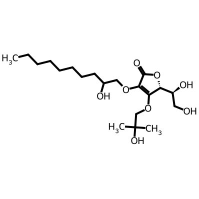 CCCCCCCCC(O)COC1=C(OCC(C)(C)O)[C@@H]([C@@H](O)CO)OC1=O